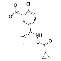 N=C(NOC(=O)C1CC1)c1ccc(Cl)c([N+](=O)[O-])c1